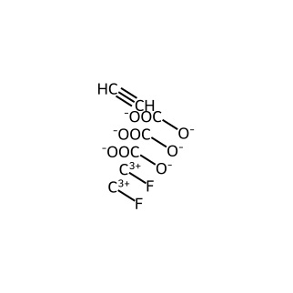 C#C.O=C([O-])[O-].O=C([O-])[O-].O=C([O-])[O-].[C+3]F.[C+3]F